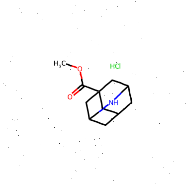 COC(=O)C12CC3CC(C1)NC(C3)C2.Cl